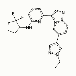 CCn1cc(-c2ccc3ncc(-c4cccc(NC5CCCC5(F)F)n4)n3c2)cn1